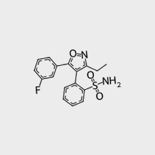 CCc1noc(-c2cccc(F)c2)c1-c1ccccc1S(N)(=O)=O